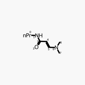 CCCNC(=O)C=CN(C)C